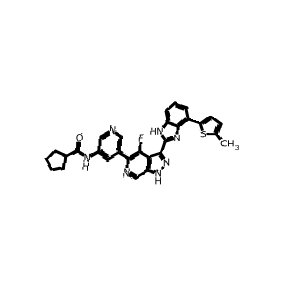 Cc1ccc(-c2cccc3[nH]c(-c4n[nH]c5cnc(-c6cncc(NC(=O)C7CCCC7)c6)c(F)c45)nc23)s1